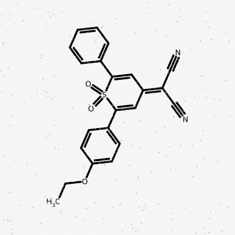 CCOc1ccc(C2=CC(=C(C#N)C#N)C=C(c3ccccc3)S2(=O)=O)cc1